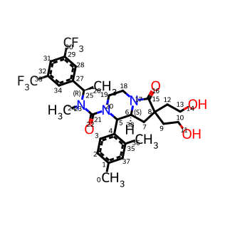 Cc1ccc(C2[C@@H]3CC(CCO)(CCO)C(=O)N3CCN2C(=O)N(C)[C@H](C)c2cc(C(F)(F)F)cc(C(F)(F)F)c2)c(C)c1